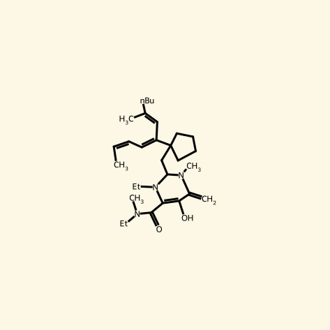 C=C1C(O)=C(C(=O)N(C)CC)N(CC)C(CC2(C(/C=C(\C)CCCC)=C/C=C\C)CCCC2)N1C